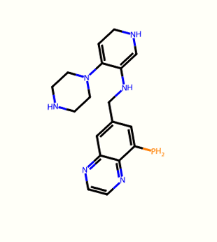 Pc1cc(CNC2=CNCC=C2N2CCNCC2)cc2nccnc12